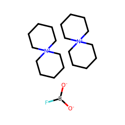 C1CC[N+]2(CC1)CCCCC2.C1CC[N+]2(CC1)CCCCC2.[O-]B([O-])F